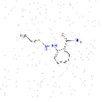 NC(=O)c1ccccc1NNC=C[N+](=O)[O-]